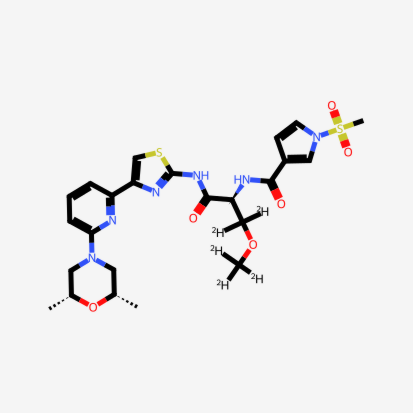 [2H]C([2H])([2H])OC([2H])([2H])[C@H](NC(=O)c1ccn(S(C)(=O)=O)c1)C(=O)Nc1nc(-c2cccc(N3C[C@@H](C)O[C@@H](C)C3)n2)cs1